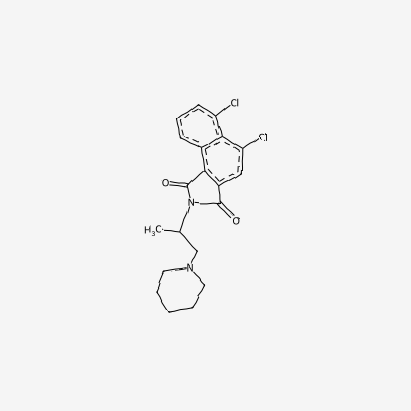 CC(CN1CCCCC1)N1C(=O)c2cc(Cl)c3c(Cl)cccc3c2C1=O